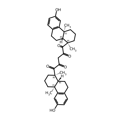 C[C@@]1(C(=O)C(=O)CC(=O)C(=O)[C@]2(C)CCC[C@]3(C)c4cc(O)ccc4CC[C@@H]23)CCC[C@]2(C)c3cc(O)ccc3CC[C@@H]12